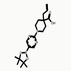 C=CCC1(C(=O)O)CCN(c2ncc(B3OC(C)(C)C(C)(C)O3)cn2)CC1